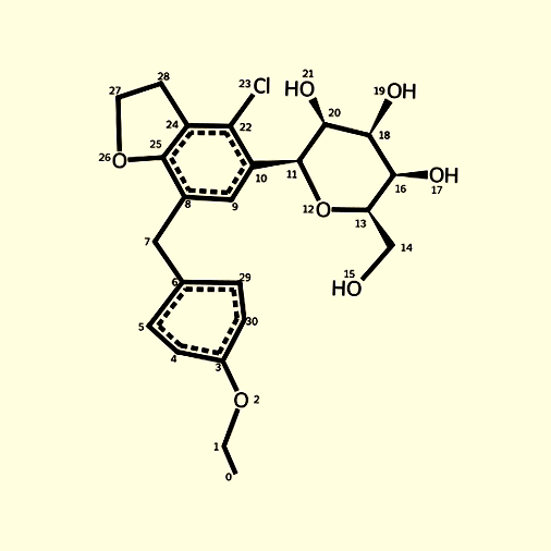 CCOc1ccc(Cc2cc([C@@H]3O[C@H](CO)[C@H](O)[C@H](O)[C@@H]3O)c(Cl)c3c2OCC3)cc1